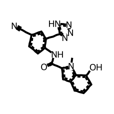 Cn1c(C(=O)Nc2ccc(C#N)cc2-c2nnn[nH]2)cc2cccc(O)c21